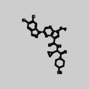 N#CC1CCN(C(=O)C(NC(=O)c2cn(SF)c3ncc(-n4ncc5cc(Cl)c(Cl)cc54)nc23)C2CC2)CC1